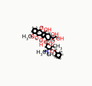 COc1cccc2c1C(=O)c1c(O)c3c(c(O)c1C2=O)C[C@@](O)(C(=O)CO)C[C@@H]3O[C@H]1C[C@H](N(C)C)[C@H](OCc2ccccc2)[C@H](C)O1